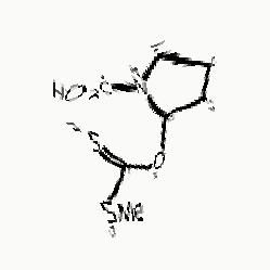 CSC(=S)OC1CCCN1C(=O)O